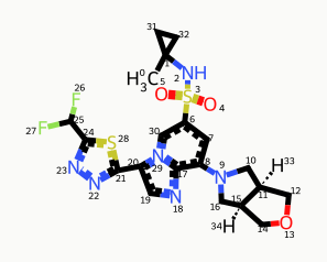 CC1(NS(=O)(=O)c2cc(N3C[C@H]4COC[C@H]4C3)c3ncc(-c4nnc(C(F)F)s4)n3c2)CC1